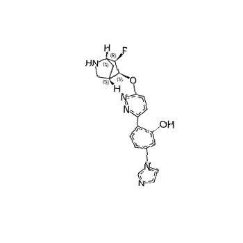 Oc1cc(-n2ccnc2)ccc1-c1ccc(O[C@H]2[C@@H]3CN[C@@H](C3)[C@H]2F)nn1